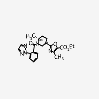 CCOC(=O)c1oc([C@@H]2CC[C@@H](C)N(C(=O)c3ccccc3-n3nccn3)C2)nc1C